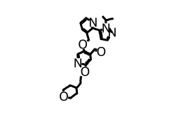 CC(C)n1nccc1-c1ncccc1COc1cnc(OCCC2CCOCC2)cc1C=O